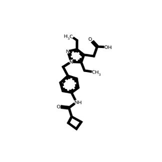 CCc1nn(Cc2ccc(NC(=O)C3CCC3)cc2)c(CC)c1CC(=O)O